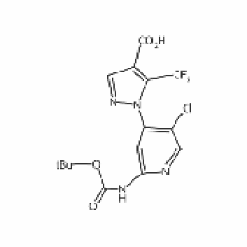 CC(C)(C)OC(=O)Nc1cc(-n2ncc(C(=O)O)c2C(F)(F)F)c(Cl)cn1